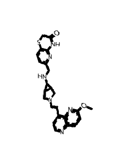 COc1ccc2nccc(CCN3CC4C(C3)C4NCc3ccc4c(n3)NC(=O)CS4)c2n1